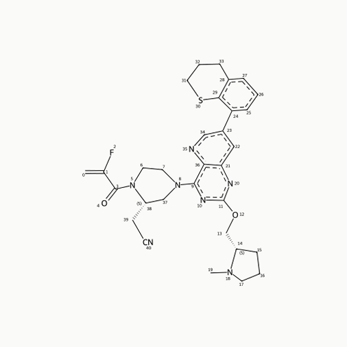 C=C(F)C(=O)N1CCN(c2nc(OC[C@@H]3CCCN3C)nc3cc(-c4cccc5c4SCCC5)cnc23)C[C@@H]1CC#N